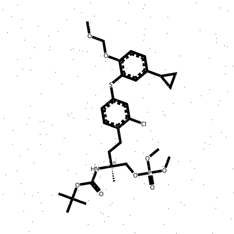 COCOc1ccc(C2CC2)cc1Sc1ccc(CC[C@@](C)(COP(=O)(OC)OC)NC(=O)OC(C)(C)C)c(Cl)c1